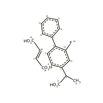 CC(C(=O)O)c1ccc(-c2ccccc2)c(F)c1.O=C(O)/C=C/C(=O)O